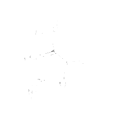 O=C([O-])C(=O)[O-].P.P.[Ni+2]